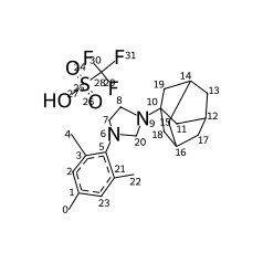 Cc1cc(C)c(N2CCN(C34CC5CC(CC(C5)C3)C4)C2)c(C)c1.O=S(=O)(O)C(F)(F)F